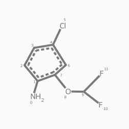 Nc1ccc(Cl)cc1OC(F)F